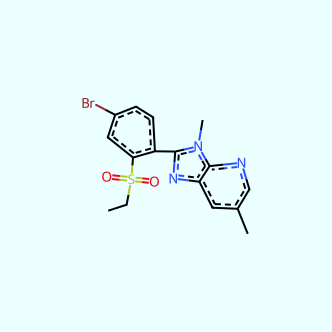 CCS(=O)(=O)c1cc(Br)ccc1-c1nc2cc(C)cnc2n1C